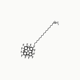 CCCCCCCCCCCCCCCCCC[NH2+]C.Fc1c(F)c(F)c([B-](c2c(F)c(F)c(F)c(F)c2F)(c2c(F)c(F)c(F)c(F)c2F)c2c(F)c(F)c(F)c(F)c2F)c(F)c1F